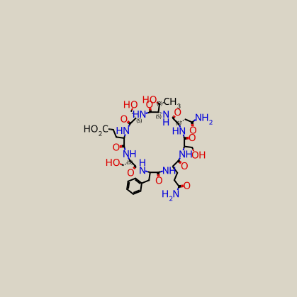 C[C@@H](O)[C@@H]1NC(=O)[C@H](CC(N)=O)NC(=O)C(CO)NC(=O)C(CCC(N)=O)NC(=O)C(Cc2ccccc2)NC(=O)[C@H](CO)NC(=O)C(CCC(=O)O)NC(=O)[C@H](CO)NC1=O